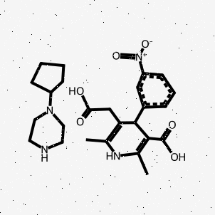 C1CCC(N2CCNCC2)C1.CC1=C(CC(=O)O)C(c2cccc([N+](=O)[O-])c2)C(C(=O)O)=C(C)N1